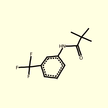 CC(C)(C)C(=O)Nc1c[c]cc(C(F)(F)F)c1